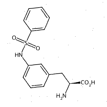 N[C@@H](Cc1cccc(NS(=O)(=O)c2ccccc2)c1)C(=O)O